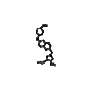 CC1CN(Cc2ccc3cc(OC4CCC(C(C)(C)C)CC4)ccc3c2)CC1C(=O)O